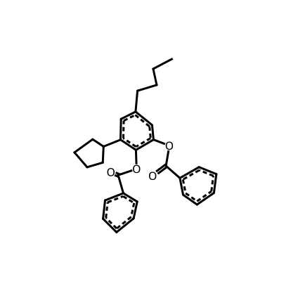 CCCCc1cc(OC(=O)c2ccccc2)c(OC(=O)c2ccccc2)c(C2CCCC2)c1